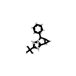 CC(C)(C)c1nc2n(n1)C(c1ccccc1)C1CC21